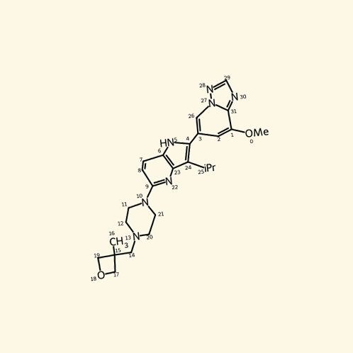 COc1cc(-c2[nH]c3ccc(N4CCN(CC5(C)COC5)CC4)nc3c2C(C)C)cn2ncnc12